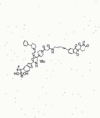 CC(C)(C)[C@H](NC(=O)c1cc2cc(C(F)(F)P(=O)(O)O)ccc2s1)C(=O)N1CCN(C(=O)CC(=O)NCCCC#Cc2ccc3c(c2)C(=O)N(C2CCC(=O)NC2=O)C3=O)C[C@H]1C(=O)N1CCCC(c2ccccc2)C1